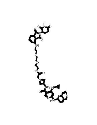 O=C(CN1CC(NC(=O)c2cnc(Nc3ccc4cnccc4n3)cc2NC2CC2)C1)NCCOCCOCCNc1cccc2c1C(=O)N(C1CCC(=O)NC1=O)C2=O